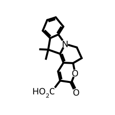 CC1(C)C2=C3C=C(C(=O)O)C(=O)OC3CCN2c2ccccc21